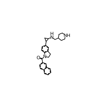 O=C(c1ccc2ccccc2c1)N1CCc2cc(C3CC3NCC3CCNCC3)ccc21